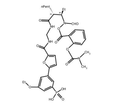 CCCCC[C@@H](C(=O)NCNC(=O)c1ccc(-c2cc(OCC)cc(P(=O)(O)O)c2)o1)[C@@H](CC)N(C=O)OC(=O)c1ccccc1OC(=O)N(C)C